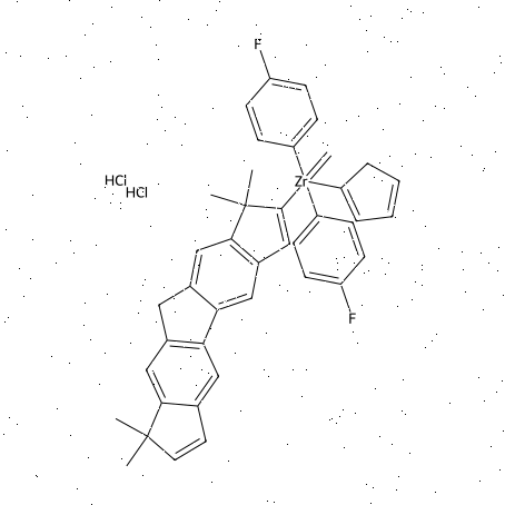 Cl.Cl.[CH2]=[Zr]([C]1=CC=CC1)([C]1=Cc2cc3c(cc2C1(C)C)Cc1cc2c(cc1-3)C=CC2(C)C)([c]1ccc(F)cc1)[c]1ccc(F)cc1